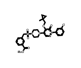 CC(C)COC(=O)c1cccc(CS(=O)(=O)N2CCN(c3cnn(-c4cccc(Cl)c4)c(=O)c3OCC3(C)CC3)CC2)c1